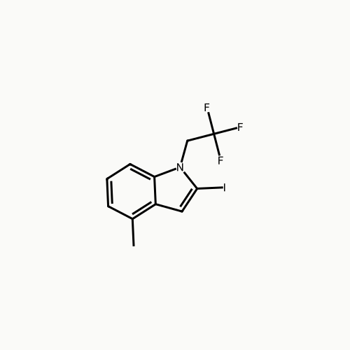 Cc1cccc2c1cc(I)n2CC(F)(F)F